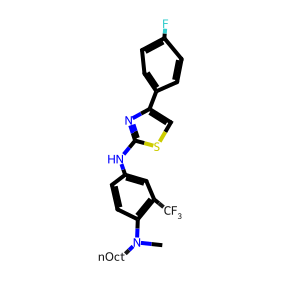 CCCCCCCCN(C)c1ccc(Nc2nc(-c3ccc(F)cc3)cs2)cc1C(F)(F)F